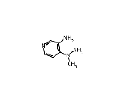 CN(N)c1ccncc1N